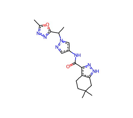 Cc1nnc(C(C)n2cc(NC(=O)c3n[nH]c4c3CCC(C)(C)C4)cn2)o1